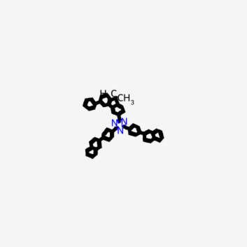 CC1(C)c2ccc(-c3ccccc3)cc2-c2cc(-c3nc(-c4ccc(-c5ccc6ccccc6c5)cc4)nc(-c4ccc(-c5ccc6ccccc6c5)cc4)n3)ccc21